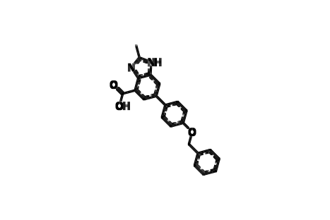 Cc1nc2c(C(=O)O)cc(-c3ccc(OCc4ccccc4)cc3)cc2[nH]1